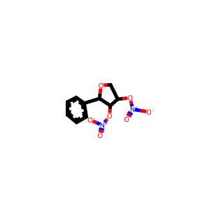 O=[N+]([O-])OC1COC(c2ccccc2)C1O[N+](=O)[O-]